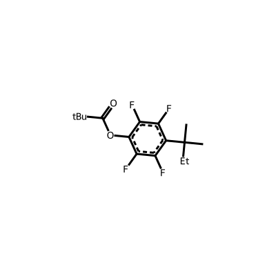 CCC(C)(C)c1c(F)c(F)c(OC(=O)C(C)(C)C)c(F)c1F